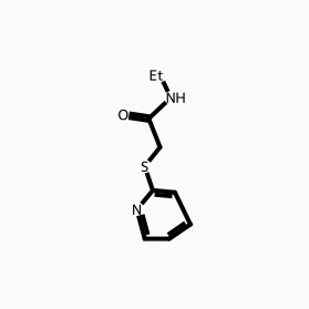 CCNC(=O)CSc1ccccn1